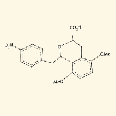 COc1ccc(OC)c2c1CC(C(=O)O)OC2Cc1ccc([N+](=O)[O-])cc1